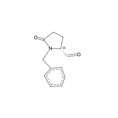 O=C[C@H]1CCC(=O)N1Cc1ccccc1